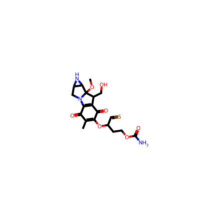 COC12C(CO)C3=C(C(=O)C(C)=C(OC(C=S)CCOC(N)=O)C3=O)N1CC1NC12